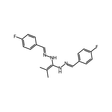 CC(C)=C(N/N=C/c1ccc(F)cc1)N/N=C/c1ccc(F)cc1